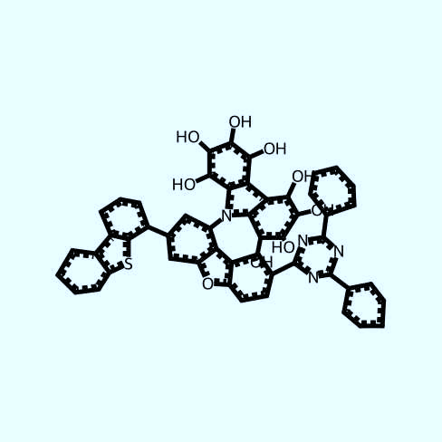 Oc1c(O)c(O)c2c(c1O)c1c(O)c(O)c(O)c(O)c1n2-c1cc(-c2cccc3c2sc2ccccc23)cc2oc3ccc(-c4nc(-c5ccccc5)nc(-c5ccccc5)n4)cc3c12